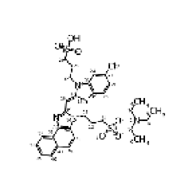 CCN(CC)CC.O=S(=O)([O-])CCC[s+]1c(C=C2Sc3ccc(Cl)cc3N2CCCS(=O)(=O)O)nc2c3ccccc3ccc21